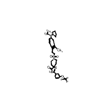 CC(=O)N(c1ccc(CCS(=O)(=O)N2CCC3(CC2)N=C(c2cccc(OC(F)(F)F)c2)NC3=O)c(C)c1)C1CCCC1